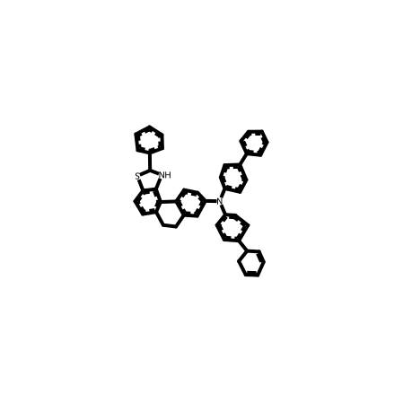 C1=CCC(c2ccc(N(c3ccc(-c4ccccc4)cc3)c3ccc4c(c3)CCc3ccc5c(c3-4)NC(c3ccccc3)S5)cc2)C=C1